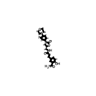 NC(=O)c1cc(C=CC(=O)NC[C@H]2CN(c3ccc(N4CCOCC4)c(F)c3)C(=O)O2)ccc1O